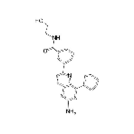 Nc1nc(-c2ccccc2)c2nc(-c3cccc(C(=O)NCCO)c3)ccc2n1